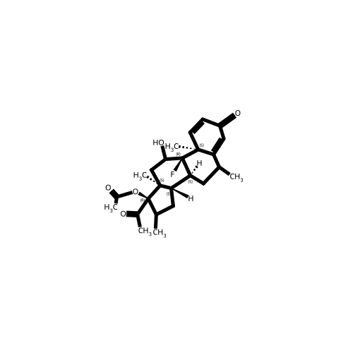 CC(=O)O[C@]1(C(C)=O)C(C)C[C@H]2[C@@H]3CC(C)C4=CC(=O)C=C[C@]4(C)[C@@]3(F)C(O)C[C@@]21C